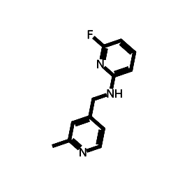 Cc1cc(CNc2cccc(F)n2)ccn1